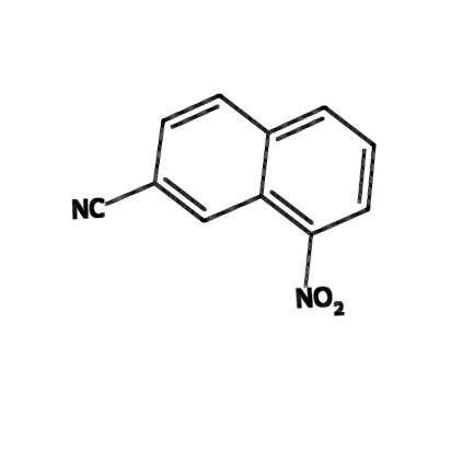 N#Cc1ccc2cccc([N+](=O)[O-])c2c1